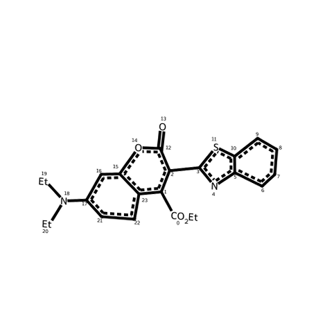 CCOC(=O)c1c(-c2nc3ccccc3s2)c(=O)oc2cc(N(CC)CC)ccc12